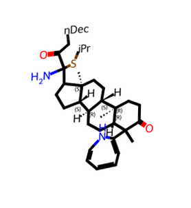 CCCCCCCCCCCC(=O)C(N)(SC(C)C)C1CC[C@H]2[C@@H]3CC[C@H]4C(C)(C5=CC=CC=CN5)C(=O)CC[C@]4(C)[C@H]3CC[C@]12C